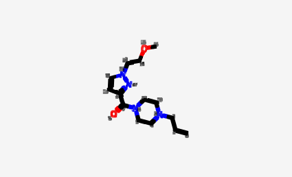 CCCN1CCN(C(=O)c2ccn(CCOC)n2)CC1